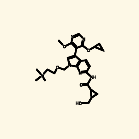 COc1ncnc(OC2CC2)c1-c1cn(COCC[Si](C)(C)C)c2nc(NC(=O)C3CC3CO)ccc12